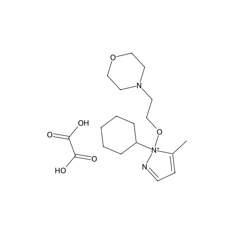 CC1=CC=N[N+]1(OCCN1CCOCC1)C1CCCCC1.O=C(O)C(=O)O